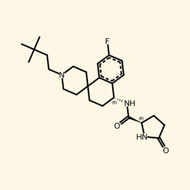 CC(C)(C)CCN1CCC2(CC[C@@H](NC(=O)[C@H]3CCC(=O)N3)c3ccc(F)cc32)CC1